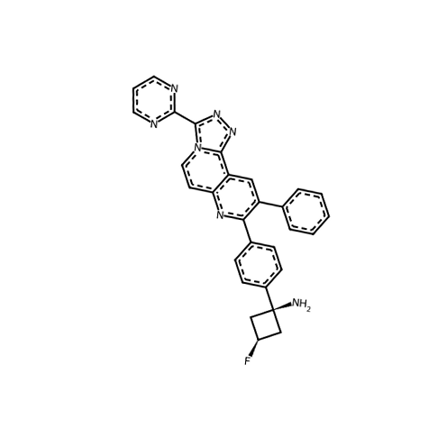 N[C@]1(c2ccc(-c3nc4ccn5c(-c6ncccn6)nnc5c4cc3-c3ccccc3)cc2)C[C@H](F)C1